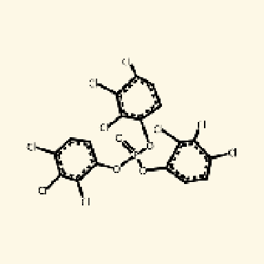 O=P(Oc1ccc(Cl)c(Cl)c1Cl)(Oc1ccc(Cl)c(Cl)c1Cl)Oc1ccc(Cl)c(Cl)c1Cl